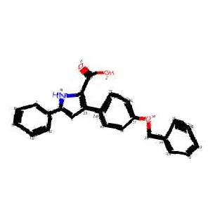 O=C(O)c1[nH]c(-c2ccccc2)cc1-c1ccc(OCc2ccccc2)cc1